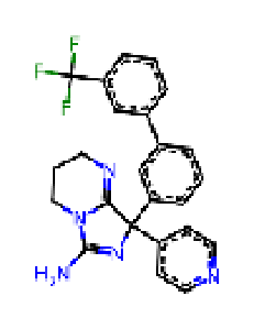 NC1=NC(c2ccncc2)(c2cccc(-c3cccc(C(F)(F)F)c3)c2)C2=NCCCN12